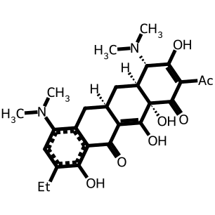 CCc1cc(N(C)C)c2c(c1O)C(=O)C1=C(O)[C@]3(O)C(=O)C(C(C)=O)=C(O)[C@@H](N(C)C)[C@@H]3C[C@@H]1C2